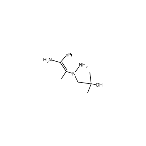 CCC/C(N)=C(/C)N(N)CC(C)(C)O